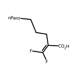 CCCCCCCCC(C(=O)O)=C(F)F